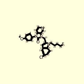 COc1ccc(-n2c(=O)n(Cc3cc4cc(Cl)ccc4n3CCCCF)c3cnccc32)cc1